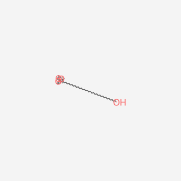 CCO[Si](CCCCCCCCCCCCCCCCCCCCCCCCCCCCCCCCCCCCO)(OCC)OCC